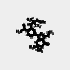 [CH2]C([CH2])(COC(C)=O)Nc1cc(-n2nc(CC(F)(F)F)c3c2CC(C)(C)CC3=O)ccc1C(N)=O